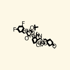 COc1ccc(CN(c2nn(C)c3c(NC(=O)[C@H](Cc4cc(F)cc(F)c4)NC(=O)OC(C)(C)C)ccc(Cl)c23)S(C)(=O)=O)cc1